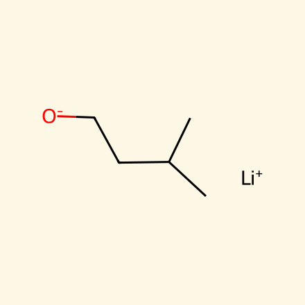 CC(C)CC[O-].[Li+]